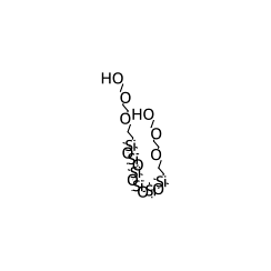 C[Si](C)(CCCOCCOCCO)O[Si](C)(C)O[Si](C)(C)O[Si](C)(C)O[Si](C)(C)O[Si](C)(C)CCCOCCOCCO